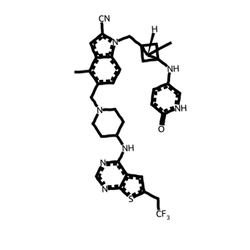 Cc1c(CN2CCC(Nc3ncnc4sc(CC(F)(F)F)cc34)CC2)ccc2c1cc(C#N)n2CC12CC(Nc3ccc(=O)[nH]c3)(C1)[C@H]2C